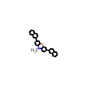 CN1c2ccc(-c3ccc4ccccc4c3)cc2Sc2cc(-c3ccc4ccccc4c3)ccc21